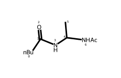 CCCCC(=O)NC(C)NC(C)=O